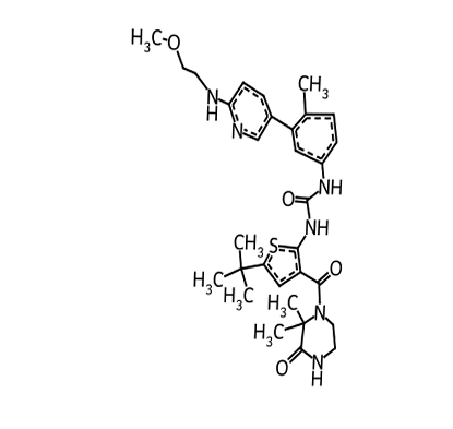 COCCNc1ccc(-c2cc(NC(=O)Nc3sc(C(C)(C)C)cc3C(=O)N3CCNC(=O)C3(C)C)ccc2C)cn1